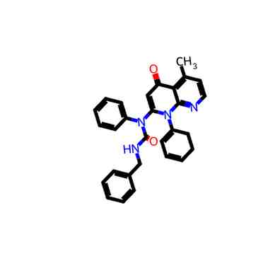 Cc1ccnc2c1c(=O)cc(N(C(=O)NCc1ccccc1)c1ccccc1)n2C1=CC=CCC1